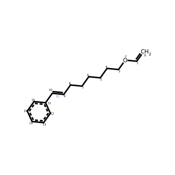 C=COCCCCCC/C=C/c1ccccc1